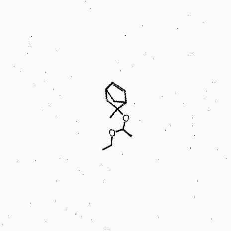 CCOC(C)OC1(C)CC2C=CC1C2